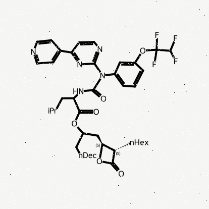 CCCCCCCCCCCC(C[C@@H]1OC(=O)[C@H]1CCCCCC)OC(=O)C(CC(C)C)NC(=O)N(c1cccc(OC(F)(F)C(F)F)c1)c1nccc(-c2ccncc2)n1